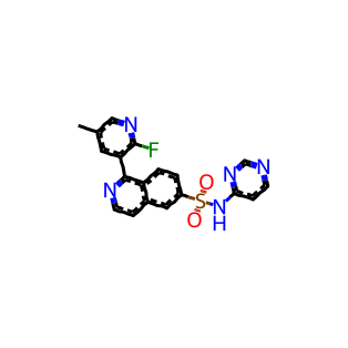 Cc1cnc(F)c(-c2nccc3cc(S(=O)(=O)Nc4ccncn4)ccc23)c1